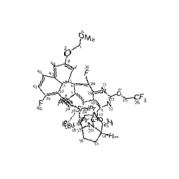 COCOc1cc(-c2c(C(C)=O)cc3c(N4C[C@@H]5CC[C@@](C(C)(C)C)(C4)N5C(=O)O)nc(OCC(F)(F)F)nc3c2F)c2c(C#C[Si](C(C)C)(C(C)C)C(C)C)c(F)ccc2c1